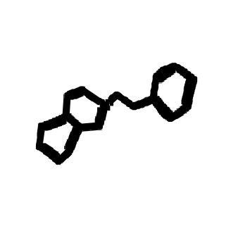 c1ccc(CC[n+]2ccc3ccccc3c2)cc1